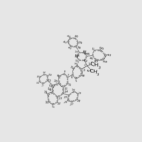 CC1(C)c2ccc(-c3ccc4c(-c5ccccc5)c5ccccc5c(-c5ccccc5)c4c3)cc2-c2nc(-c3ccccc3)nc(-c3ccccc3)c21